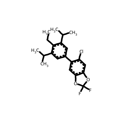 CCc1c(C(C)C)cc(-c2cc3c(cc2Cl)OC(F)(F)O3)cc1C(C)C